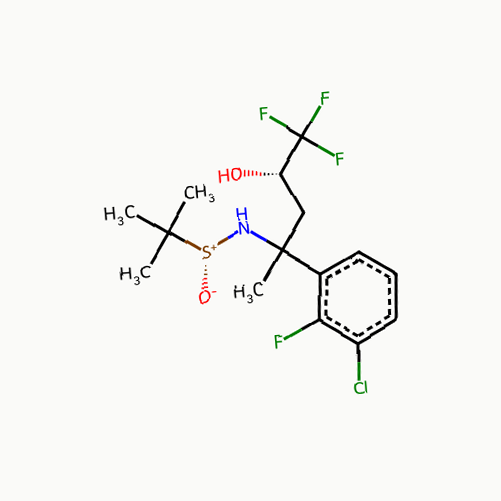 CC(C[C@H](O)C(F)(F)F)(N[S@+]([O-])C(C)(C)C)c1cccc(Cl)c1F